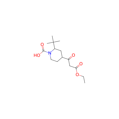 CCOC(=O)CC(=O)C1CCN(C(=O)O)C(C(C)(C)C)C1